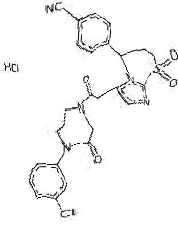 Cl.N#Cc1ccc(C2CS(=O)(=O)c3ncc(C(=O)N4CCN(c5cccc(Cl)c5)C(=O)C4)n32)cc1